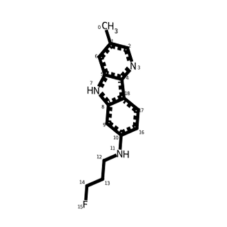 Cc1cnc2c(c1)[nH]c1cc(NCCCF)ccc12